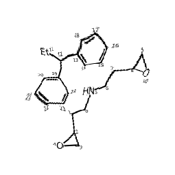 C(CC1CO1)NCCC1CO1.CCC(c1ccccc1)c1ccccc1